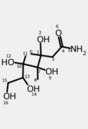 CC(O)(CC(N)=O)C(C)(O)C(C)(O)C(O)CO